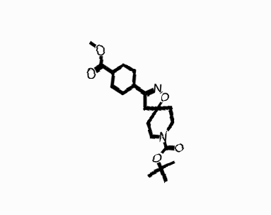 COC(=O)C1CCC(C2=NOC3(CCN(C(=O)OC(C)(C)C)CC3)C2)CC1